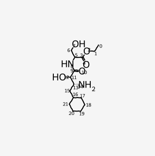 CCOC(=O)C(CO)NC(=O)C(O)[C@H](N)CC1CCCCC1